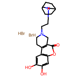 Br.Br.O=c1oc2cc(O)c(O)cc2c2c1CN(CCN1CC3CCC(CC3)C1)CC2